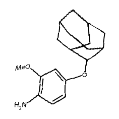 COc1cc(OC2C3CC4CC(C3)CC2C4)ccc1N